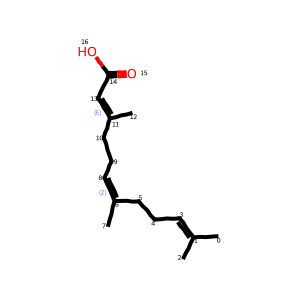 CC(C)=CCC/C(C)=C\CC/C(C)=C/C(=O)O